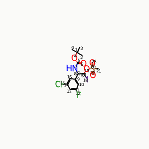 CC(C)(C)OC(=O)N[C@@H](c1cc(F)cc(Cl)c1)[C@H](I)OS(C)(=O)=O